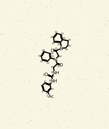 CC(=O)c1cccc(NC(=O)NCC(=O)N(CC(=O)N2CCCc3ccccc32)c2ccccc2)c1